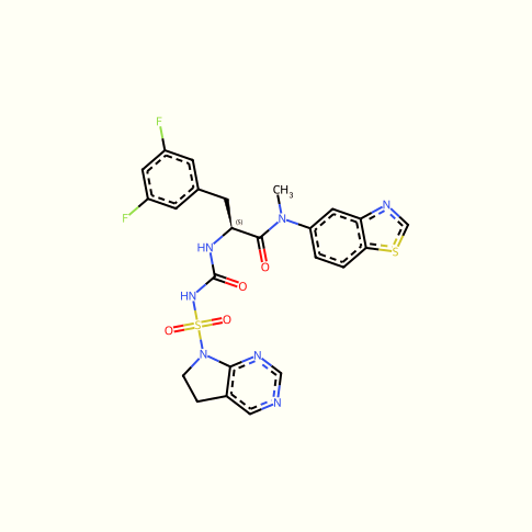 CN(C(=O)[C@H](Cc1cc(F)cc(F)c1)NC(=O)NS(=O)(=O)N1CCc2cncnc21)c1ccc2scnc2c1